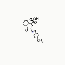 Cc1ccc(/N=N/C2C=C(S(=O)(=O)O)c3ccccc3C2=O)cc1